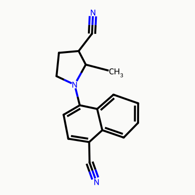 CC1C(C#N)CCN1c1ccc(C#N)c2ccccc12